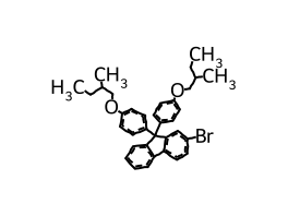 CCC(C)COc1ccc(C2(c3ccc(OCC(C)CC)cc3)c3ccccc3-c3ccc(Br)cc32)cc1